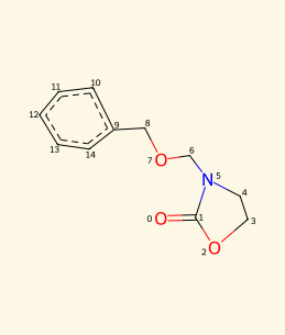 O=C1OCCN1COCc1ccccc1